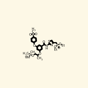 CCOP(=O)(Cc1csc(NC(=O)c2cc(Oc3ccc(S(C)(=O)=O)cc3)cc(O[C@@H](C)CO[Si](C)(C)C(C)(C)C)c2)n1)OCC